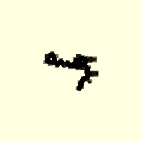 CC#CC[C@@H](C)[C@H](O)C=C[C@@H]1[C@H]2CC(=CCOCCN3CCOCC3)C[C@H]2C[C@H]1O